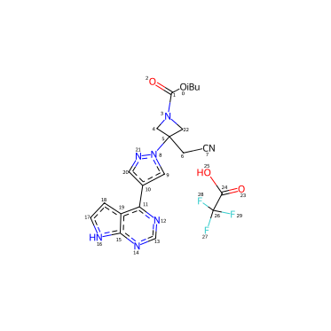 CC(C)COC(=O)N1CC(CC#N)(n2cc(-c3ncnc4[nH]ccc34)cn2)C1.O=C(O)C(F)(F)F